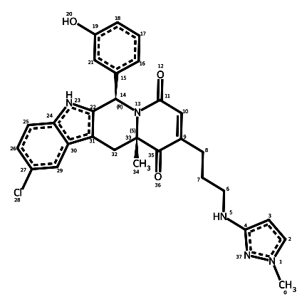 Cn1ccc(NCCCC2=CC(=O)N3[C@H](c4cccc(O)c4)c4[nH]c5ccc(Cl)cc5c4C[C@@]3(C)C2=O)n1